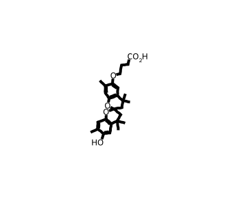 Cc1cc2c(cc1O)C(C)(C)CC1(CC(C)(C)c3cc(OCCCC(=O)O)c(C)cc3O1)O2